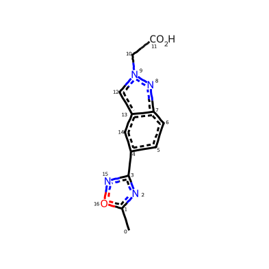 Cc1nc(-c2ccc3nn(CC(=O)O)cc3c2)no1